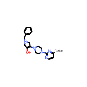 COc1ccnc(N2CCN(C3=C(O)CN(Cc4ccccc4)C3)CC2)n1